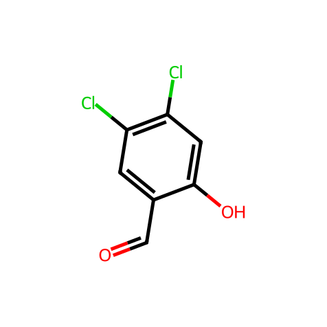 O=Cc1cc(Cl)c(Cl)cc1O